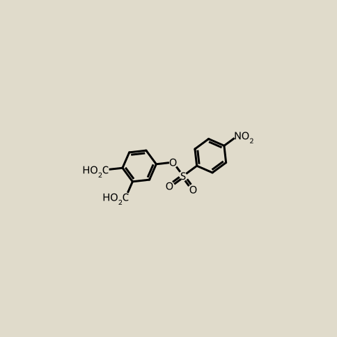 O=C(O)c1ccc(OS(=O)(=O)c2ccc([N+](=O)[O-])cc2)cc1C(=O)O